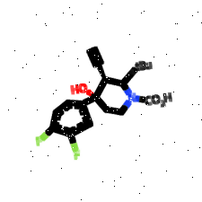 C#C[C@H]1C(C(C)(C)C)N(C(=O)O)CC[C@]1(O)c1ccc(F)c(F)c1